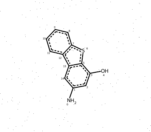 Nc1cc(O)c2sc3ccccc3c2c1